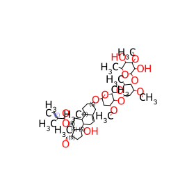 C/C=C(\C)C(=O)O[C@@H]1CC2C(CC=C3C[C@@H](OC4CC(OC)C(OC5CC(OC)C(OC6OC(C)C(O)C(OC)C6O)C(C)O5)C(C)O4)CC[C@@]32C)[C@@]2(O)CC[C@H](C=O)[C@@]12C